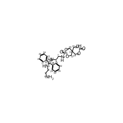 NCCN[Si](NCCNP1(=O)OCC2(CO[PH](=O)OC2)CO1)(c1ccccc1)c1ccccc1